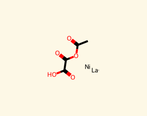 CC(=O)OC(=O)C(=O)O.[La].[Ni]